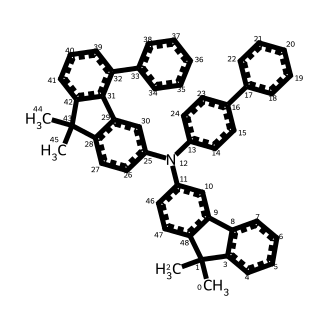 CC1(C)c2ccccc2-c2cc(N(c3ccc(-c4ccccc4)cc3)c3ccc4c(c3)-c3c(-c5ccccc5)cccc3C4(C)C)ccc21